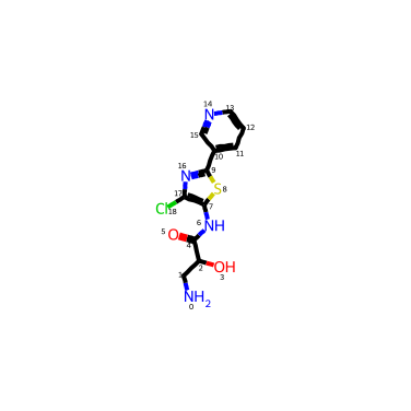 NCC(O)C(=O)Nc1sc(-c2cccnc2)nc1Cl